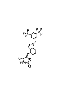 O=C1NC(=O)/C(=C/c2cccc3c2ccn3Cc2cc(C(F)(F)F)cc(C(F)(F)F)c2)S1